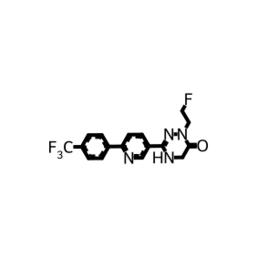 O=C1CNC(c2ccc(-c3ccc(C(F)(F)F)cc3)nc2)=NN1CCF